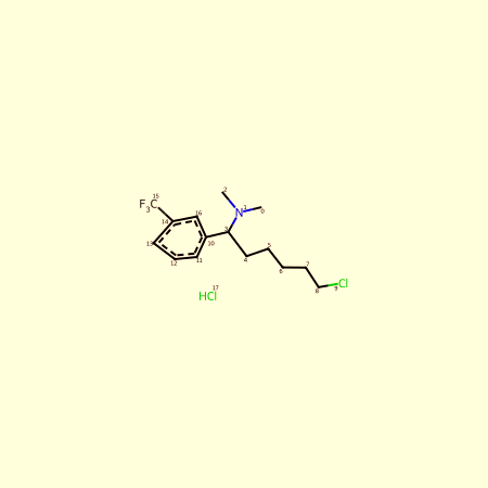 CN(C)C(CCCCCCl)c1cccc(C(F)(F)F)c1.Cl